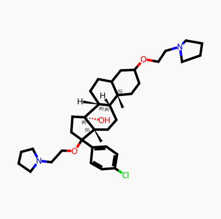 C[C@]12CCC(OCCN3CCCC3)CC1CC[C@@H]1[C@H]2CC[C@]2(C)C(OCCN3CCCC3)(c3ccc(Cl)cc3)CC[C@@]12O